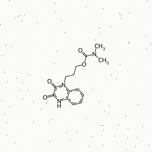 CN(C)C(=O)OCCCn1c(=O)c(=O)[nH]c2ccccc21